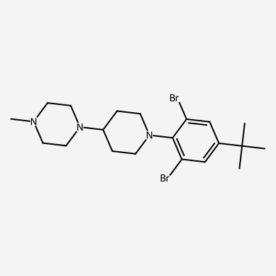 CN1CCN(C2CCN(c3c(Br)cc(C(C)(C)C)cc3Br)CC2)CC1